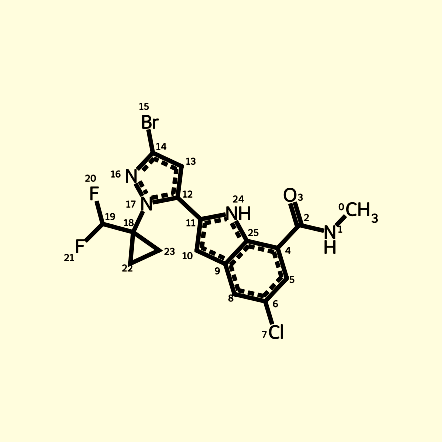 CNC(=O)c1cc(Cl)cc2cc(-c3cc(Br)nn3C3(C(F)F)CC3)[nH]c12